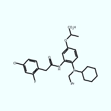 CC(C)CN(c1ccc(OC(C)C(=O)O)cc1NC(=O)Cc1ccc(Cl)cc1F)C1CCCCC1